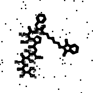 CC[C@H](C)[C@@H]([C@@H](CC(=O)N1CCC[C@H]1[C@H](OC)[C@@H](C)C(=O)N[C@@H](Cc1ccccc1)C(=O)NCCOCCON1C(=O)c2ccccc2C1=O)OC)N(C)C(=O)[C@@H](NC(=O)[C@H](C(C)C)N(C)C)C(C)C